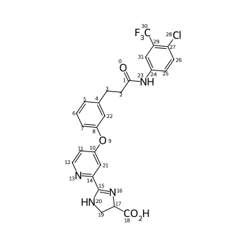 O=C(CCc1cccc(Oc2ccnc(C3=NC(C(=O)O)CN3)c2)c1)Nc1ccc(Cl)c(C(F)(F)F)c1